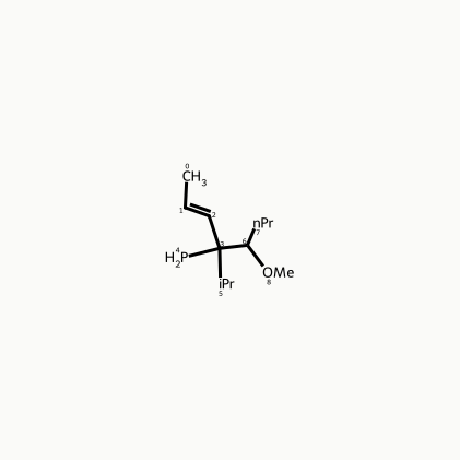 CC=CC(P)(C(C)C)C(CCC)OC